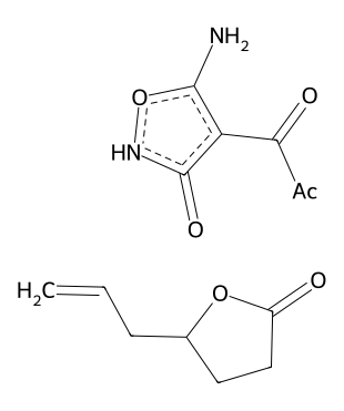 C=CCC1CCC(=O)O1.CC(=O)C(=O)c1c(N)o[nH]c1=O